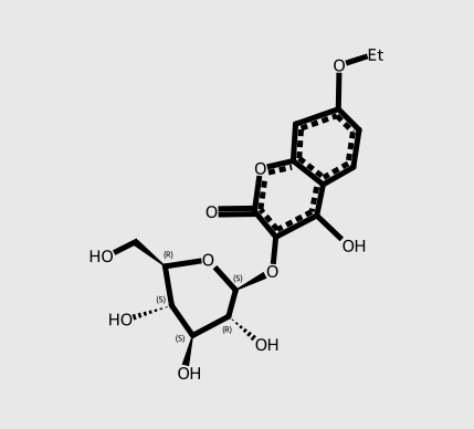 CCOc1ccc2c(O)c(O[C@@H]3O[C@H](CO)[C@@H](O)[C@H](O)[C@H]3O)c(=O)oc2c1